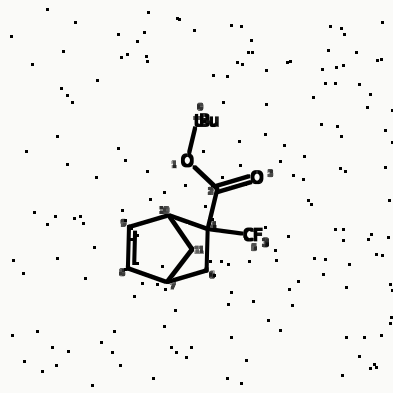 CC(C)(C)OC(=O)C1(C(F)(F)F)CC2C=CC1C2